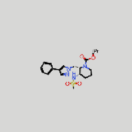 CC(C)OC(=O)N1CCC[C@H](NS(C)(=O)=O)[C@@H]1Cn1cc(-c2ccccc2)cn1